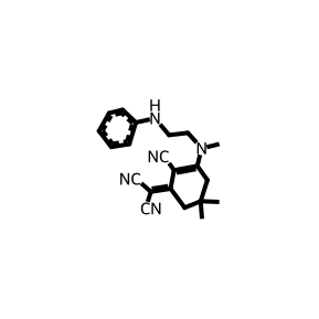 CN(CCNc1ccccc1)C1=C(C#N)C(=C(C#N)C#N)CC(C)(C)C1